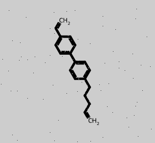 C=CCCCc1ccc(-c2ccc(C=C)cc2)cc1